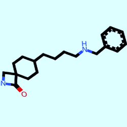 O=C1NCC12CCC(CCCCNCc1ccccc1)CC2